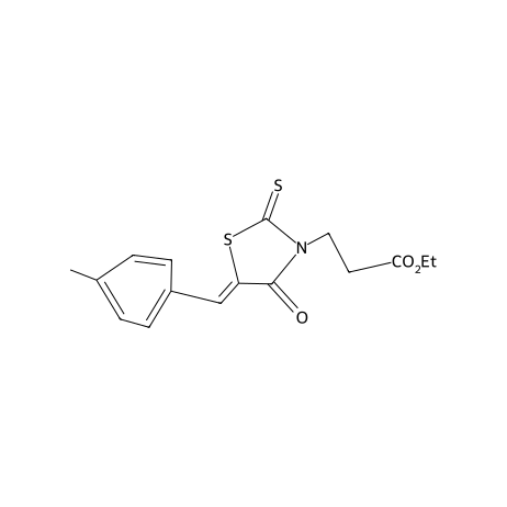 CCOC(=O)CCN1C(=O)/C(=C/c2ccc(C)cc2)SC1=S